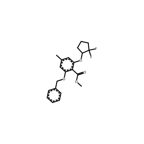 COC(=O)c1c(OCc2ccccc2)cc(C)cc1OC1CCCC1(F)F